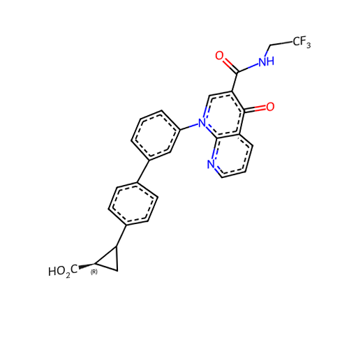 O=C(NCC(F)(F)F)c1cn(-c2cccc(-c3ccc(C4C[C@H]4C(=O)O)cc3)c2)c2ncccc2c1=O